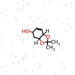 CC1(C)O[C@H]2C=C[C@H](O)C[C@H]2O1